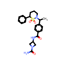 CC(c1ccc(C(=O)NC2CN(C(N)=O)C2)cc1)N1CCCC(c2ccccc2)S1(=O)=O